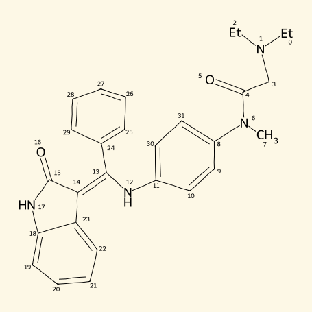 CCN(CC)CC(=O)N(C)c1ccc(NC(=C2C(=O)Nc3ccccc32)c2ccccc2)cc1